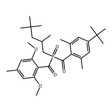 COc1cc(C)cc(OC)c1C(=O)P(=O)(CC(C)CC(C)(C)C)C(=O)c1c(C)cc(C(C)(C)C)cc1C